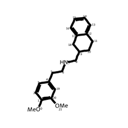 COc1ccc(CCNCC2CCc3ccccc3C2)cc1OC